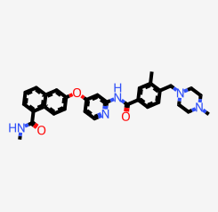 CNC(=O)c1cccc2cc(Oc3ccnc(NC(=O)c4ccc(CN5CCN(C)CC5)c(C)c4)c3)ccc12